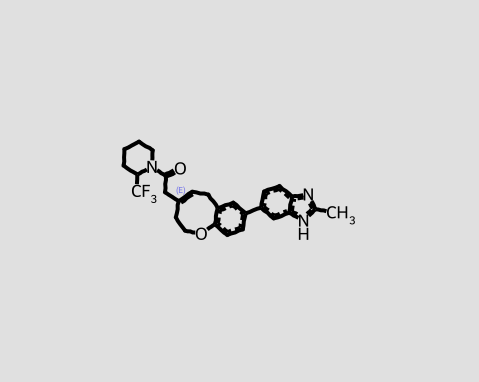 Cc1nc2ccc(-c3ccc4c(c3)C/C=C(/CC(=O)N3CCCCC3C(F)(F)F)CCO4)cc2[nH]1